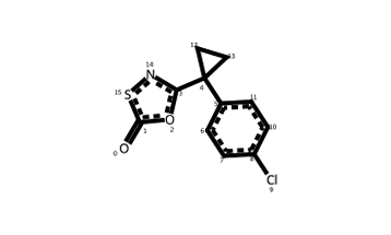 O=c1oc(C2(c3ccc(Cl)cc3)CC2)ns1